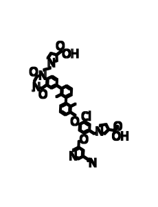 Cc1c(COc2cc(OCc3cncc(C#N)c3)c(CN3CCC(C(=O)O)C3)cc2Cl)cccc1-c1cccc(-c2ccc3c(c2)C(=O)N(C)CC(=O)N3CCN2CCC(C(=O)O)C2)c1C